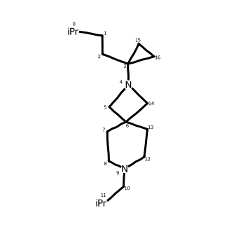 CC(C)CCC1(N2CC3(CCN(CC(C)C)CC3)C2)CC1